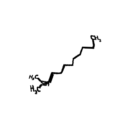 CCCCCCCCC=C[SiH](C)C